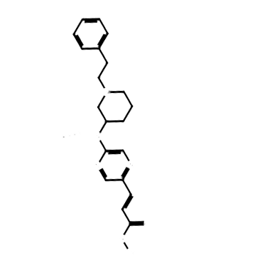 Cl.Cl.O=C(/C=C/c1cnc(NC2CCCN(CCc3ccccc3)C2)cn1)NO